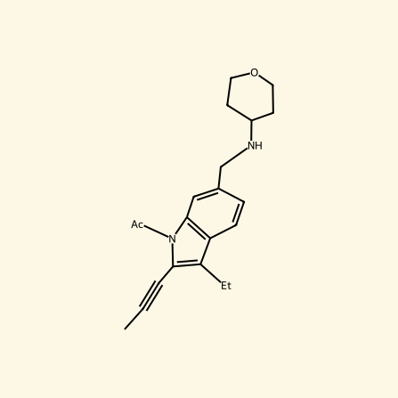 CC#Cc1c(CC)c2ccc(CNC3CCOCC3)cc2n1C(C)=O